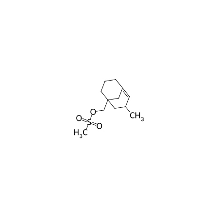 CC1C=C2CCCC(COS(C)(=O)=O)(C2)C1